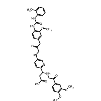 COc1cc(CC(=O)CNc2ccc(C(CC(=O)O)NCC(=O)c3ccc(OC)c(OC)c3)nc2)ccc1NC(=O)Nc1ccccc1C